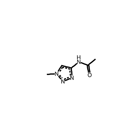 CC(=O)Nc1cn(C)nn1